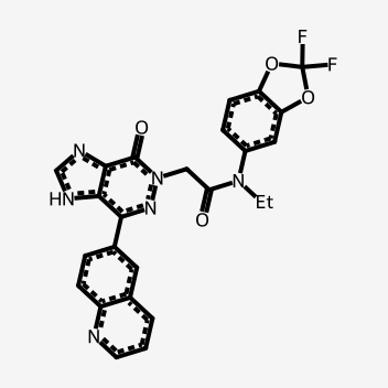 CCN(C(=O)Cn1nc(-c2ccc3ncccc3c2)c2[nH]cnc2c1=O)c1ccc2c(c1)OC(F)(F)O2